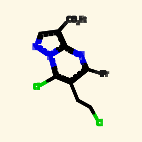 CCOC(=O)c1cnn2c(Cl)c(CCCl)c(C(C)C)nc12